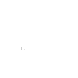 CC(C)(C)NCCCCC(=O)c1ccccc1